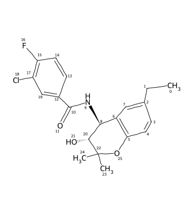 CCc1ccc2c(c1)[C@H](NC(=O)c1ccc(F)c(Cl)c1)[C@@H](O)C(C)(C)O2